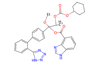 CCOC(OC(=O)c1cccc2[nH]cnc12)(c1ccc(-c2ccccc2-c2nnn[nH]2)cc1)C(C)OC(=O)OC1CCCCC1